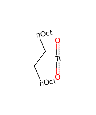 CCCCCCCCCCCCCCCCCC.[O]=[Ti]=[O]